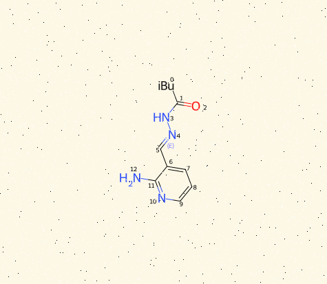 CCC(C)C(=O)N/N=C/c1cccnc1N